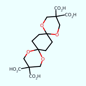 O=C(O)C1(C(=O)O)COC2(CCC3(CC2)OCC(C(=O)O)(C(=O)O)CO3)OC1